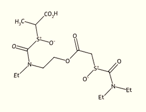 CCN(CC)C(=O)[S+]([O-])CC(=O)OCCN(CC)C(=O)[S+]([O-])C(C)C(=O)O